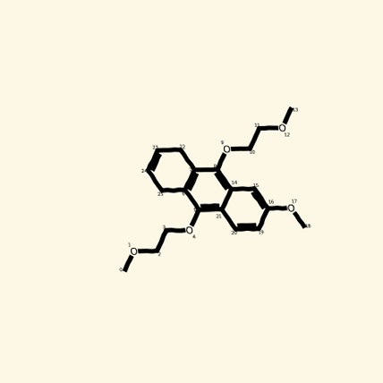 COCCOc1c2c(c(OCCOC)c3cc(OC)ccc13)CC=CC2